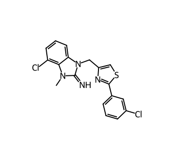 Cn1c(=N)n(Cc2csc(-c3cccc(Cl)c3)n2)c2cccc(Cl)c21